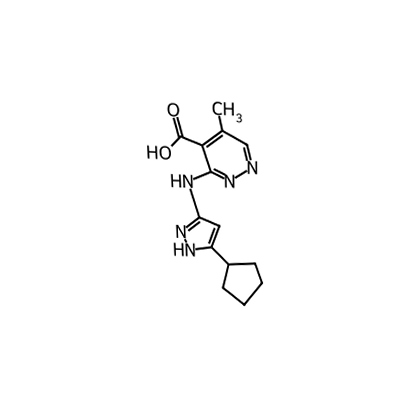 Cc1cnnc(Nc2cc(C3CCCC3)[nH]n2)c1C(=O)O